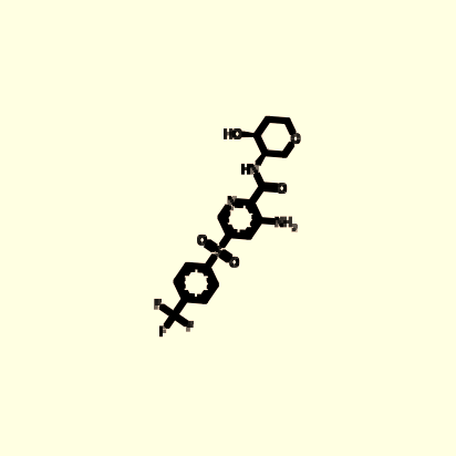 Nc1cc(S(=O)(=O)c2ccc(C(F)(F)F)cc2)cnc1C(=O)N[C@@H]1COCC[C@@H]1O